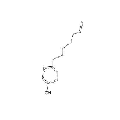 C=CCCCCCc1ccc(O)cc1